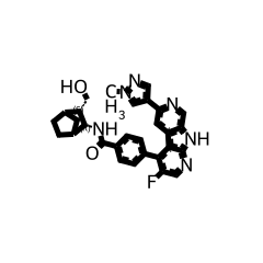 Cn1cc(-c2cc3c(cn2)[nH]c2ncc(F)c(-c4ccc(C(=O)N[C@@H]5C6CCC(C6)[C@@H]5CO)cc4)c23)cn1